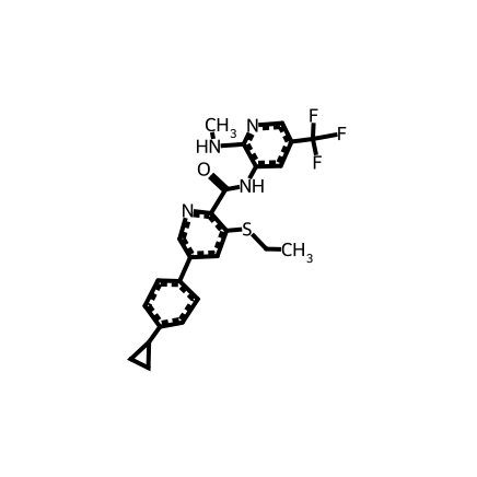 CCSc1cc(-c2ccc(C3CC3)cc2)cnc1C(=O)Nc1cc(C(F)(F)F)cnc1NC